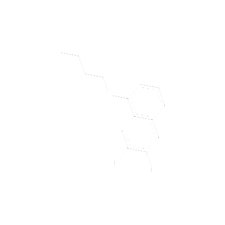 CCCCOc1cccc2cc(F)c(F)cc12